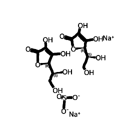 O=C1O[C@H]([C@@H](O)CO)C(O)=C1O.O=C1O[C@H]([C@@H](O)CO)C(O)=C1O.O=S([O-])[O-].[Na+].[Na+]